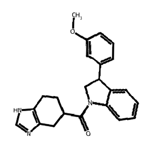 COc1cccc(C2CN(C(=O)C3CCc4[nH]cnc4C3)c3ccccc32)c1